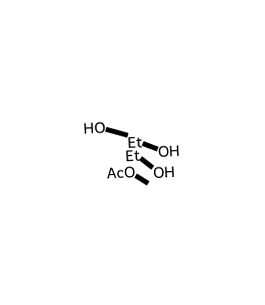 CCO.CCO.CO.COC(C)=O